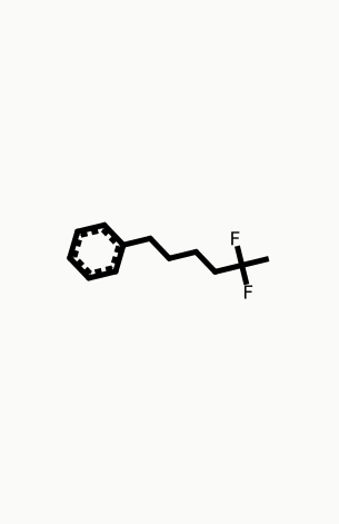 CC(F)(F)CCCCc1ccccc1